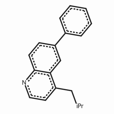 CC(C)Cc1ccnc2ccc(-c3ccccc3)cc12